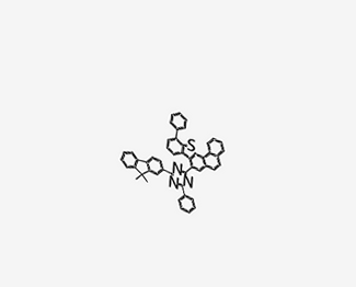 CC1(C)c2ccccc2-c2ccc(-c3nc(-c4ccccc4)nc(-c4cc5ccc6ccccc6c5c5sc6c(-c7ccccc7)cccc6c45)n3)cc21